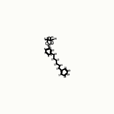 CC1(C)OB(c2cccc(CCCCCCc3ccccc3)c2)OC1(C)C